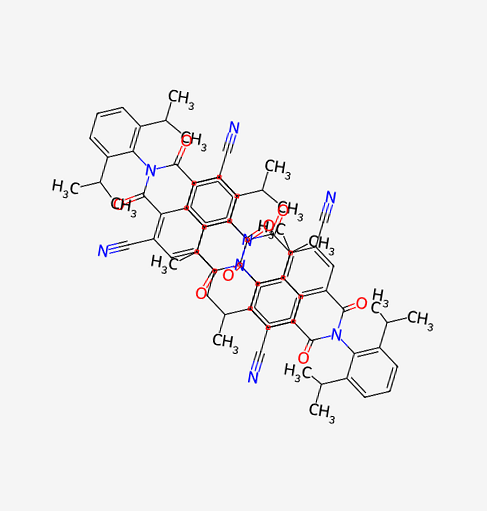 CC(C)c1cccc(C(C)C)c1N1C(=O)c2cc(C#N)c3c4c(cc(C#N)c(c24)C1=O)C(=O)N(c1c(C(C)C)cccc1C(C)CCC(C)c1cccc(C(C)C)c1N1C(=O)c2cc(C#N)c4c5c(c(C#N)cc(c25)C1=O)C(=O)N(c1c(C(C)C)cccc1C(C)C)C4=O)C3=O